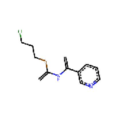 C=C(NC(=C)c1cccnc1)SCCCCl